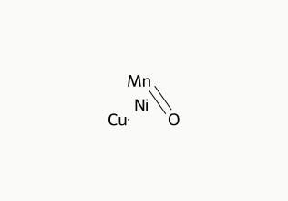 [Cu].[Ni].[O]=[Mn]